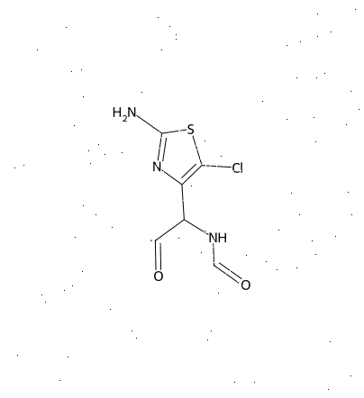 Nc1nc(C([C]=O)NC=O)c(Cl)s1